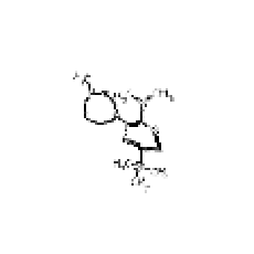 CN1CCCN(c2n[c]([Sn]([CH3])([CH3])[CH3])cnc2N(C)C)CC1